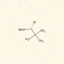 CC[C@@H](OC)C(C)(C)C